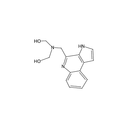 OCN(CO)Cc1nc2ccccc2c2cc[nH]c12